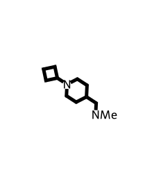 CNCC1CCN(C2CCC2)CC1